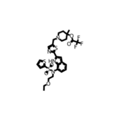 CCOCCN(c1cccc2cc(-c3ncc(CN4CCC(C)(OC(=O)C(F)(F)F)CC4)s3)[nH]c12)S(=O)(=O)c1cccs1